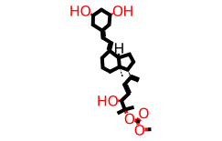 C=C(/C=C/[C@H](O)C(C)(C)OC(=O)OC)[C@H]1CC[C@H]2/C(=C/C=C3C[C@@H](O)C[C@H](O)C3)CCC[C@]12C